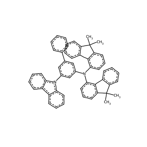 CC1(C)c2ccccc2-c2c(N(c3cc(-c4ccccc4)cc(-n4c5ccccc5c5ccccc54)c3)c3cccc4c3-c3ccccc3C4(C)C)cccc21